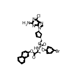 C[C@H](NP(=O)(OC[C@@H]1C=C[C@H](n2cnc3c(Cl)nc(N)nc32)C1)Oc1ccc(Br)cc1)C(=O)Oc1ccc2ccccc2c1